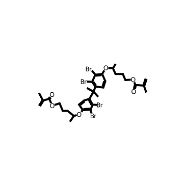 C=C(C)C(=O)OCCCC(C)Oc1ccc(C(C)(C)c2ccc(OC(C)CCCOC(=O)C(=C)C)c(Br)c2Br)c(Br)c1Br